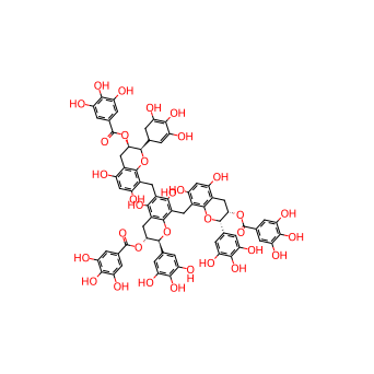 O=C(O[C@H]1Cc2c(O)cc(O)c(Cc3c(O)c(Cc4c(O)cc(O)c5c4O[C@H](C4C=C(O)C(O)=C(O)C4)[C@H](OC(=O)c4cc(O)c(O)c(O)c4)C5)c(O)c4c3O[C@@H](c3cc(O)c(O)c(O)c3)[C@H](OC(=O)c3cc(O)c(O)c(O)c3)C4)c2O[C@H]1c1cc(O)c(O)c(O)c1)c1cc(O)c(O)c(O)c1